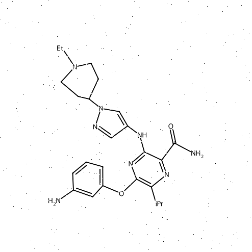 CCN1CCC(n2cc(Nc3nc(Oc4cccc(N)c4)c(C(C)C)nc3C(N)=O)cn2)CC1